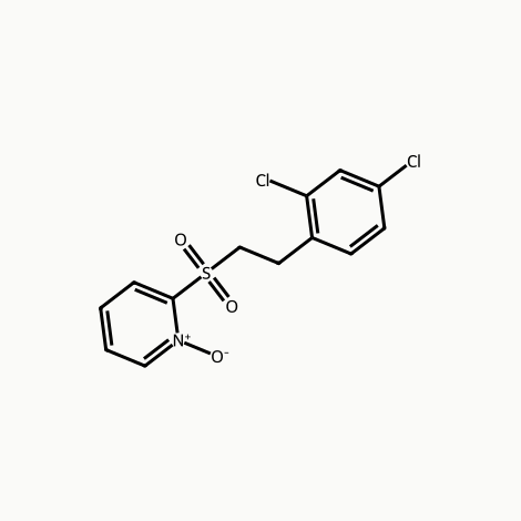 O=S(=O)(CCc1ccc(Cl)cc1Cl)c1cccc[n+]1[O-]